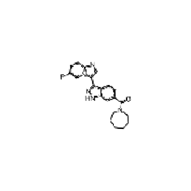 O=C(c1ccc2c(-c3cnc4ccc(F)cn34)n[nH]c2c1)N1CCCCCC1